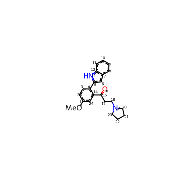 COc1ccc(-c2cc3ccccc3[nH]2)c(C(=O)CCN2CCCC2)c1